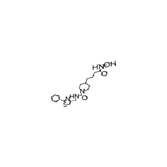 O=C(CCCC1CCN(C(=O)NCc2csc(-c3ccccc3)n2)CC1)NO